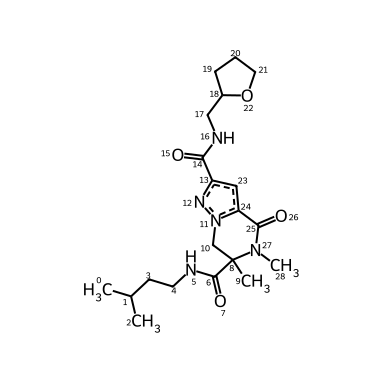 CC(C)CCNC(=O)C1(C)Cn2nc(C(=O)NCC3CCCO3)cc2C(=O)N1C